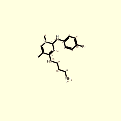 CC1=CN(C)C(Nc2ccc(F)cc2)N=C1NCCCN